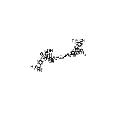 Cc1ncsc1-c1ccc(CNC(=O)[C@@H]2C[C@@H](O)CN2C(=O)[C@@H](NC(=O)COCCOCC#CCOc2ccc(N3C(=S)N(c4ccc(C#N)c(C(F)(F)F)c4)C(=O)C3(C)C)cc2)C(C)(C)C)cc1